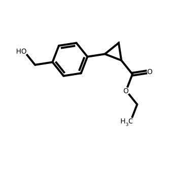 CCOC(=O)C1CC1c1ccc(CO)cc1